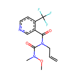 C=CCN(C(=O)c1cnccc1C(F)(F)F)C(=O)N(C)OC